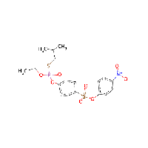 CCOP(=O)(Oc1ccc(S(=O)(=O)Oc2ccc([N+](=O)[O-])cc2)cc1)SCC(C)C